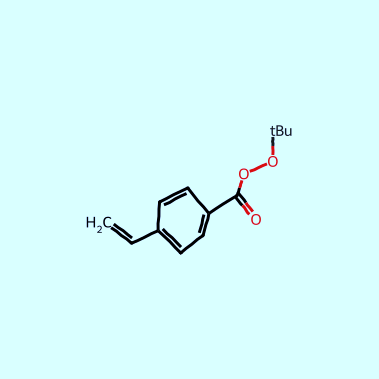 C=Cc1ccc(C(=O)OOC(C)(C)C)cc1